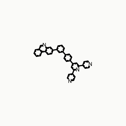 c1cc(-c2ccc(-c3cc(-c4ccncc4)nc(-c4ccncc4)c3)cc2)cc(-c2ccc3c(c2)ncc2ccccc23)c1